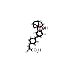 O=C(O)/C(F)=C\c1ccc(-c2ccc(O)c(C34CC5CC(CC(C5)C3)C4)c2)cc1